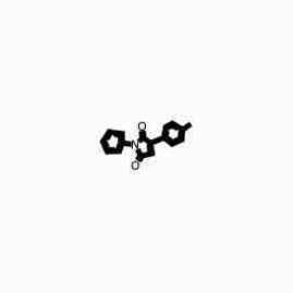 Cc1ccc(C2=CC(=O)N(c3ccccc3)C2=O)cc1